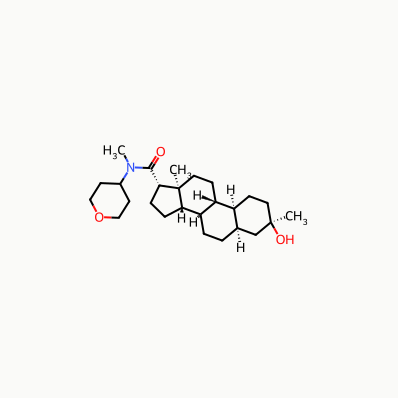 CN(C(=O)[C@H]1CC[C@H]2[C@@H]3CC[C@@H]4C[C@](C)(O)CC[C@@H]4[C@H]3CC[C@]12C)C1CCOCC1